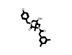 Cc1cc(C)cc(CC(=O)N2CCC2(C)C(=O)N(Cc2ccc(Cl)cc2)CC(C)O)c1